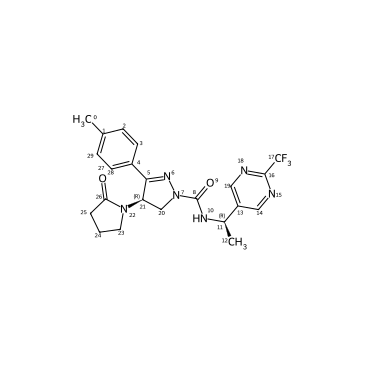 Cc1ccc(C2=NN(C(=O)N[C@H](C)c3cnc(C(F)(F)F)nc3)C[C@H]2N2CCCC2=O)cc1